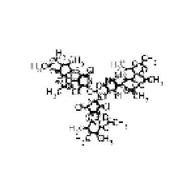 CC(=O)OC1OC(Sc2c(Cl)nc(SC(Oc3nc(Cl)c(SC4OC(OC(C)=O)C(OC(C)=O)C(C)C4C)c(Cl)c3Cl)Oc3nc(Cl)c(SC4OC(C)C(OC(C)=O)C(OC(C)=O)C4OC(C)=O)c(Cl)c3Cl)c(Cl)c2Cl)C(C)C(C)C1C